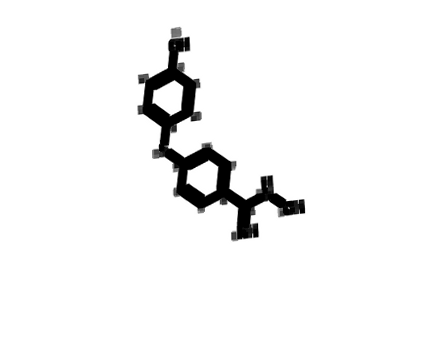 N=C(NO)c1ccc(Sc2ccc(O)cc2)cc1